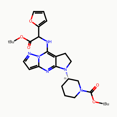 CC(C)(C)OC(=O)C(Nc1c2c(nc3ccnn13)N([C@H]1CCCN(C(=O)OC(C)(C)C)C1)CC2)c1ccco1